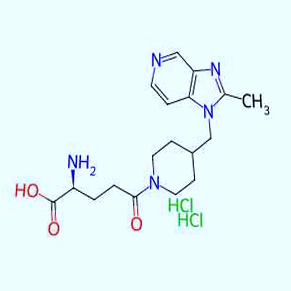 Cc1nc2cnccc2n1CC1CCN(C(=O)CC[C@H](N)C(=O)O)CC1.Cl.Cl